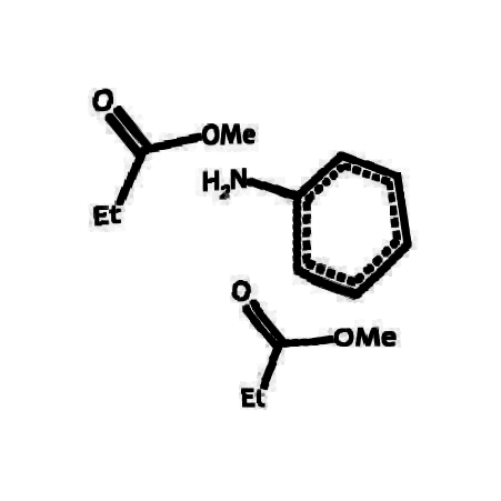 CCC(=O)OC.CCC(=O)OC.Nc1ccccc1